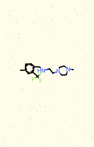 Cc1ccc(CNCCN2CCN(C)CC2)c(C(F)(F)F)c1